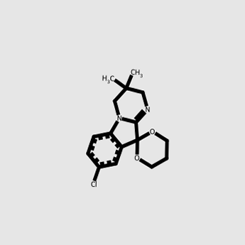 CC1(C)CN=C2N(C1)c1ccc(Cl)cc1C21OCCCO1